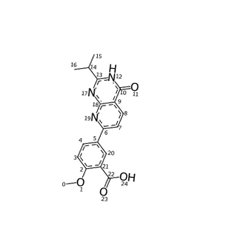 COc1ccc(-c2ccc3c(=O)[nH]c(C(C)C)nc3n2)cc1C(=O)O